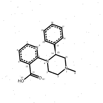 CN1CCN(c2ncccc2C(=O)O)[C@@H](c2ccccc2)C1